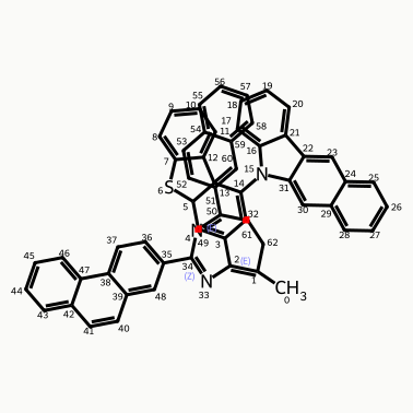 C\C1=C(C2=CC3Sc4ccccc4C3C(n3c4ccccc4c4cc5ccccc5cc43)=C2)/N=C(c2ccc3c(ccc4ccccc43)c2)\N=C(\c2ccc3ccccc3c2)CC1